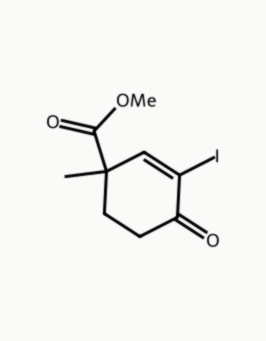 COC(=O)C1(C)C=C(I)C(=O)CC1